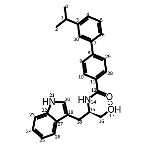 CC(C)c1cccc(-c2ccc(C(=O)N[C@@H](CO)Cc3c[nH]c4ccccc34)cc2)c1